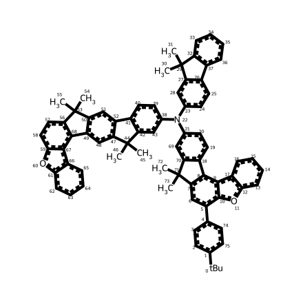 CC(C)(C)c1ccc(-c2cc3c(c4c2oc2ccccc24)-c2ccc(N(c4ccc5c(c4)C(C)(C)c4ccccc4-5)c4ccc5c(c4)C(C)(C)c4cc6c(cc4-5)C(C)(C)c4ccc5oc7ccccc7c5c4-6)cc2C3(C)C)cc1